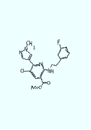 COC(=O)c1cc(Cl)c(-c2cnn(C)c2)nc1NCCc1cccc(F)c1